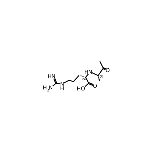 CC(=O)[C@@H](C)N[C@@H](CCCNC(=N)N)C(=O)O